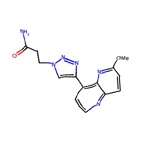 COc1ccc2nccc(-c3cn(CCC(N)=O)nn3)c2n1